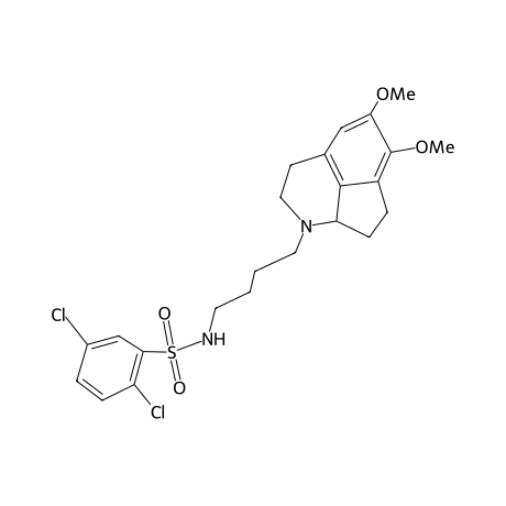 COc1cc2c3c(c1OC)CCC3N(CCCCNS(=O)(=O)c1cc(Cl)ccc1Cl)CC2